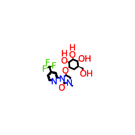 CN1C[C@H](O[C@H]2C[C@H](CO)[C@@H](O)[C@H](O)[C@H]2O)N(c2cc(C(F)(F)F)ccn2)C1=O